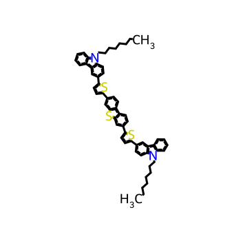 CCCCCCCCn1c2ccccc2c2cc(-c3ccc(-c4ccc5c(c4)sc4cc(-c6ccc(-c7ccc8c(c7)c7ccccc7n8CCCCCCCC)s6)ccc45)s3)ccc21